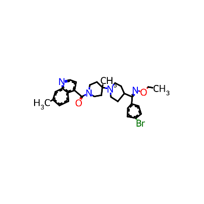 CCON=C(c1ccc(Br)cc1)C1CCN(C2(C)CCN(C(=O)c3ccnc4cc(C)ccc34)CC2)CC1